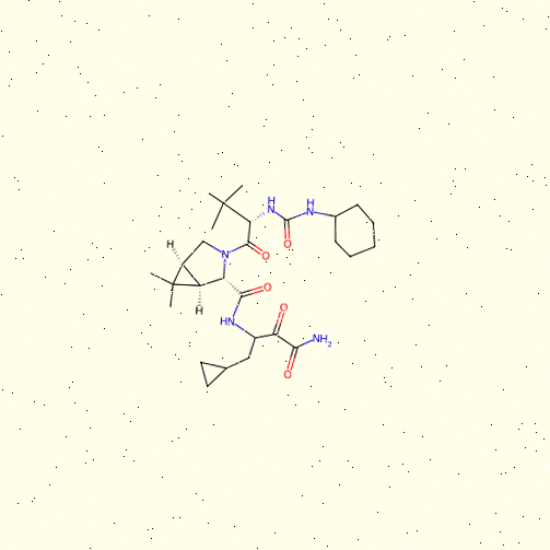 CC(C)(C)[C@H](NC(=O)NC1CCCCC1)C(=O)N1C[C@H]2[C@@H]([C@H]1C(=O)NC(CC1CC1)C(=O)C(N)=O)C2(C)C